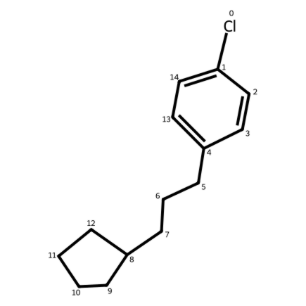 Clc1ccc(CCCC2CCCC2)cc1